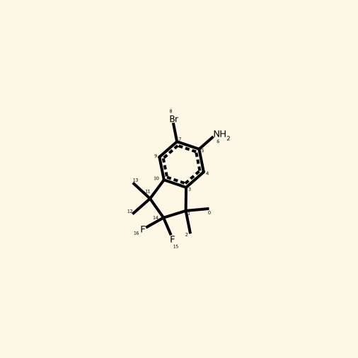 CC1(C)c2cc(N)c(Br)cc2C(C)(C)C1(F)F